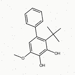 COc1cc(-c2ccccc2)c(C(C)(C)C)c(O)c1O